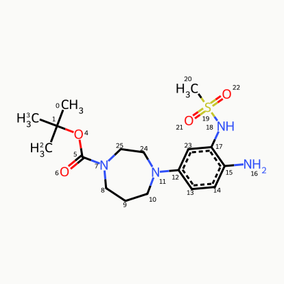 CC(C)(C)OC(=O)N1CCCN(c2ccc(N)c(NS(C)(=O)=O)c2)CC1